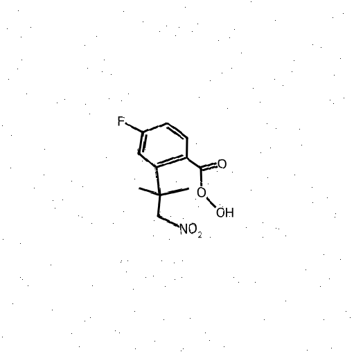 CC(C)(C[N+](=O)[O-])c1cc(F)ccc1C(=O)OO